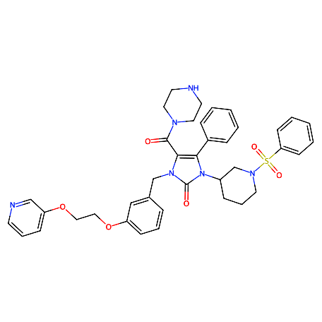 O=C(c1c(-c2ccccc2)n(C2CCCN(S(=O)(=O)c3ccccc3)C2)c(=O)n1Cc1cccc(OCCOc2cccnc2)c1)N1CCNCC1